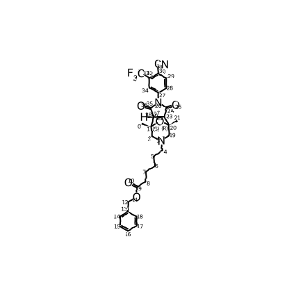 C[C@]12CN(CCCCCC(=O)OCc3ccccc3)C[C@](C)(O1)C1C(=O)N(c3ccc(C#N)c(C(F)(F)F)c3)C(=O)[C@H]12